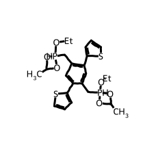 CCO[PH]1(Cc2cc(-c3cccs3)c(C[PH]3(OCC)OC(C)O3)cc2-c2cccs2)OC(C)O1